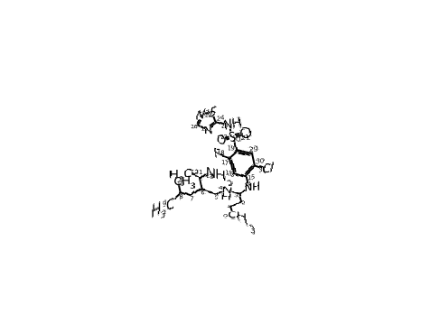 CCCC(NCC(CC(C)C)[C@@H](C)N)Nc1cc(F)c(S(=O)(=O)Nc2ncns2)cc1Cl